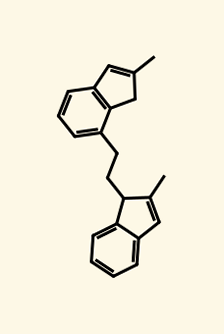 CC1=Cc2cccc(CCC3C(C)=Cc4ccccc43)c2C1